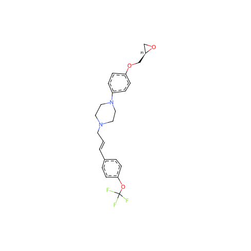 FC(F)(F)Oc1ccc(C=CCN2CCN(c3ccc(OC[C@H]4CO4)cc3)CC2)cc1